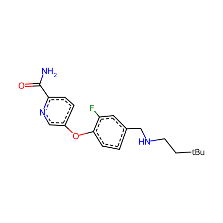 CC(C)(C)CCNCc1ccc(Oc2ccc(C(N)=O)nc2)c(F)c1